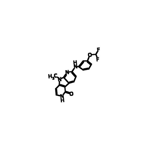 Cn1c2cc[nH]c(=O)c2c2ccc(Nc3cccc(OC(F)F)c3)nc21